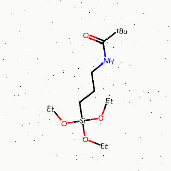 CCO[Si](CCCNC(=O)C(C)(C)C)(OCC)OCC